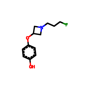 Oc1ccc(OC2CN(CCCF)C2)cc1